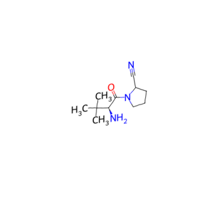 CC(C)(C)[C@H](N)C(=O)N1CCCC1C#N